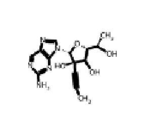 CC#C[C@@]1(O)C(O)[C@@H]([C@@H](C)O)O[C@H]1n1cnc2cnc(N)nc21